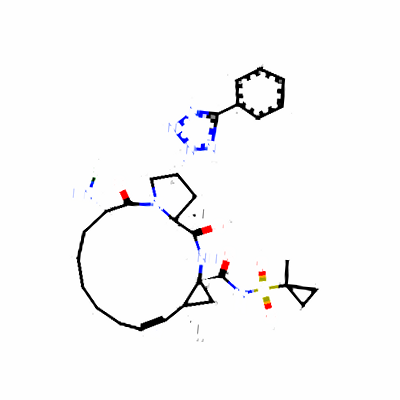 CC1(S(=O)(=O)NC(=O)[C@@]23C[C@H]2/C=C\CCCCC[C@H](NCl)C(=O)N2C[C@H](n4nnc(-c5ccccc5)n4)C[C@H]2C(=O)N3)CC1